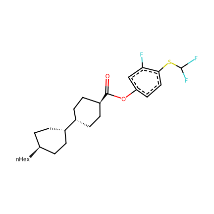 CCCCCC[C@H]1CC[C@H]([C@H]2CC[C@H](C(=O)Oc3ccc(SC(F)F)c(F)c3)CC2)CC1